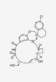 O=C1NS(=O)(=O)C[C@H](CO)C/C=C/[C@H](O)[C@@H]2CC[C@H]2CN2C[C@@]3(CCCc4cc(Cl)ccc43)COc3ccc1cc32